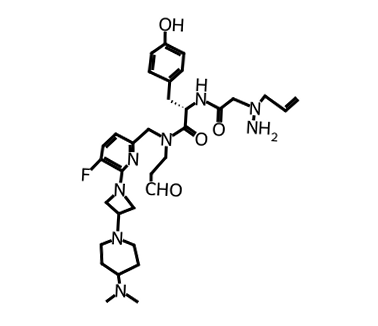 C=CCN(N)CC(=O)N[C@@H](Cc1ccc(O)cc1)C(=O)N(CCC=O)Cc1ccc(F)c(N2CC(N3CCC(N(C)C)CC3)C2)n1